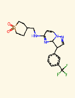 O=S1(=O)CCC(CNC2=NC3C(c4cccc(C(F)(F)F)c4)C=NN3C=C2)CC1